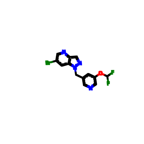 FC(F)Oc1cncc(Cn2ncc3ncc(Br)cc32)c1